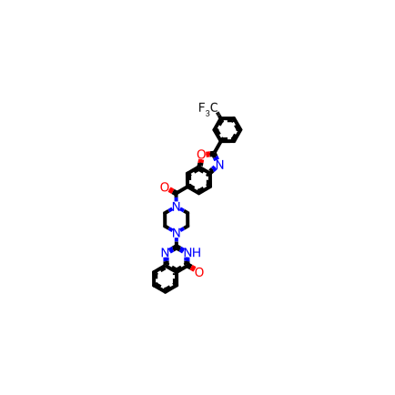 O=C(c1ccc2nc(-c3cccc(C(F)(F)F)c3)oc2c1)N1CCN(c2nc3ccccc3c(=O)[nH]2)CC1